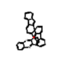 C1=CC2(C3=Cc4ccccc4C3=C1)C1=Cc3ccccc3C1=CC=C2c1cccc2nc3ccccc3nc12